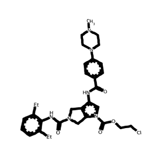 CCc1cccc(CC)c1NC(=O)N1Cc2c(NC(=O)c3ccc(N4CCN(C)CC4)cc3)cn(C(=O)OCCCl)c2C1